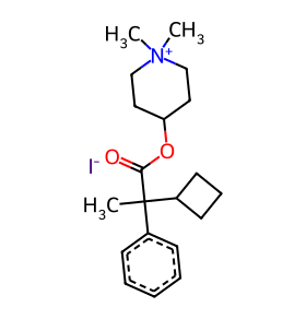 CC(C(=O)OC1CC[N+](C)(C)CC1)(c1ccccc1)C1CCC1.[I-]